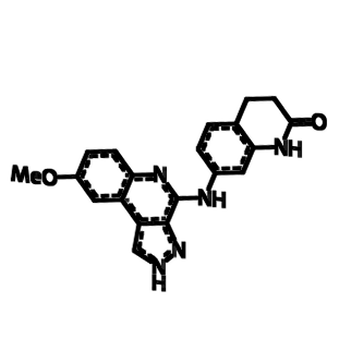 COc1ccc2nc(Nc3ccc4c(c3)NC(=O)CC4)c3n[nH]cc3c2c1